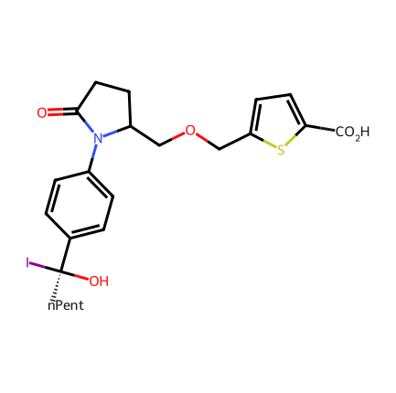 CCCCC[C@](O)(I)c1ccc(N2C(=O)CCC2COCc2ccc(C(=O)O)s2)cc1